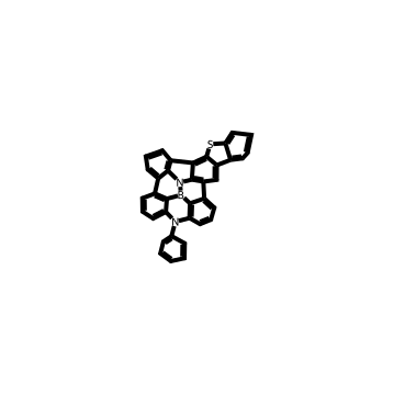 c1ccc(N2c3cccc4c3B3c5c(cccc52)-c2cc5c6ccccc6sc5c5c6cccc-4c6n3c25)cc1